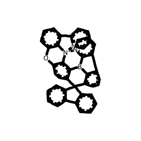 c1ccc2c(c1)-c1ccccc1C21c2cccc3c2B2c4c1ccc1c4[N+]4(c5c(cccc5-c5cccc[n+]54)O1)[n+]1cccc-3c12